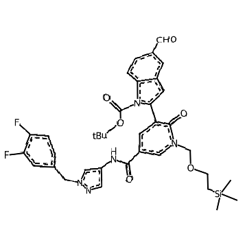 CC(C)(C)OC(=O)n1c(-c2cc(C(=O)Nc3cnn(Cc4ccc(F)c(F)c4)c3)cn(COCC[Si](C)(C)C)c2=O)cc2cc(C=O)ccc21